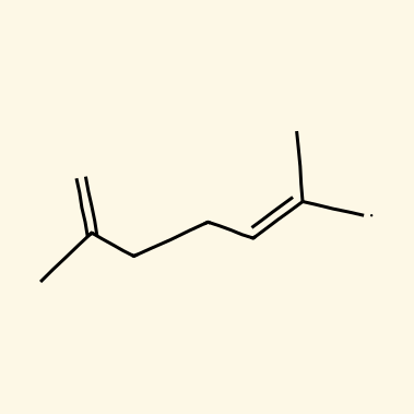 [CH2]C(C)=CCCC(=C)C